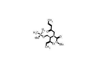 CC=CC(=O)CN(C(=O)OC(C)(C)C)[C@H](CO[Si](C)(C)C(C)(C)C)C(=CC)CC